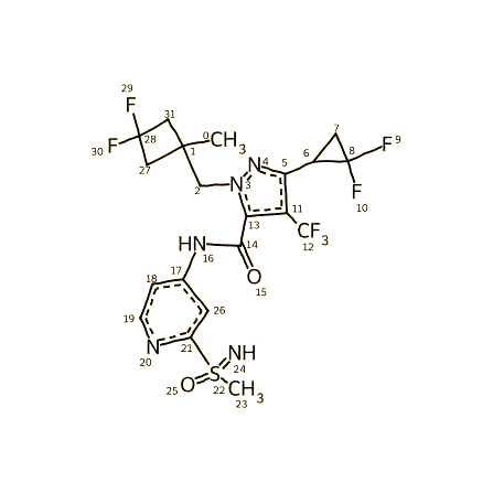 CC1(Cn2nc(C3CC3(F)F)c(C(F)(F)F)c2C(=O)Nc2ccnc(S(C)(=N)=O)c2)CC(F)(F)C1